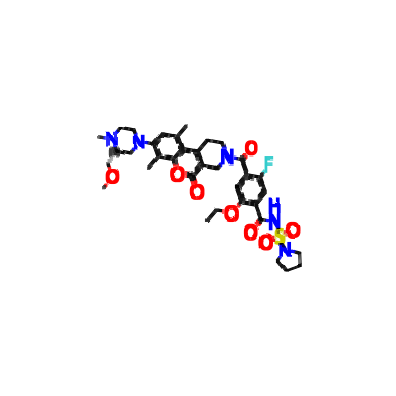 CCOc1cc(C(=O)N2CCc3c(c(=O)oc4c(C)c(N5CCN(C)[C@@H](COC)C5)cc(C)c34)C2)c(F)cc1C(=O)NS(=O)(=O)N1CCCC1